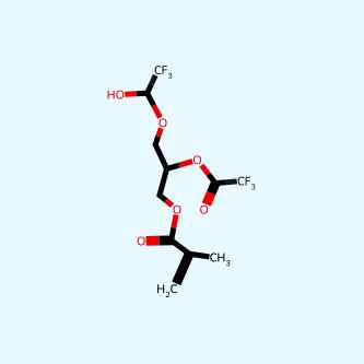 C=C(C)C(=O)OCC(COC(O)C(F)(F)F)OC(=O)C(F)(F)F